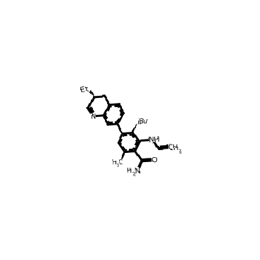 C=CNc1c(C(N)=O)c(C)cc(-c2ccc3c(c2)N=C[C@@H](CC)C3)c1[C@H](C)CC